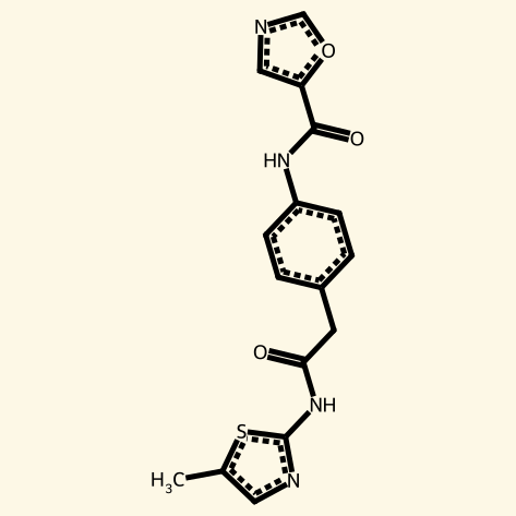 Cc1cnc(NC(=O)Cc2ccc(NC(=O)c3cnco3)cc2)s1